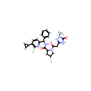 Cn1nc(CC(=O)N2CC(F)CC2C(=O)NC(c2ccccc2)c2ccc(C3CC3)c(F)n2)[nH]c1=O